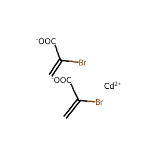 C=C(Br)C(=O)[O-].C=C(Br)C(=O)[O-].[Cd+2]